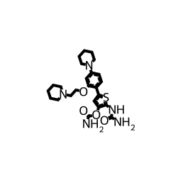 NC(=O)Nc1sc(-c2ccc(N3CCCCC3)cc2OCCN2CCCCC2)cc1OC(N)=O